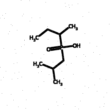 CCC(C)P(=O)(O)CC(C)C